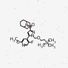 COc1cc(-c2cc(C(=O)N3C4CCCC3COC4)nn2COCC[Si](C)(C)C)c(F)cn1